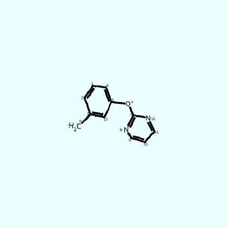 [CH2]c1cccc(Oc2ncccn2)c1